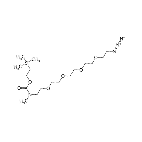 CN(CCOCCOCCOCCOCCN=[N+]=[N-])C(=O)OCC[Si](C)(C)C